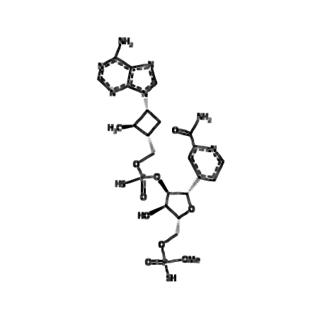 COP(=O)(S)OC[C@H]1O[C@@H](c2ccnc(C(N)=O)c2)[C@H](OP(=O)(S)OC[C@H]2C[C@@H](n3cnc4c(N)ncnc43)[C@@H]2C)[C@@H]1O